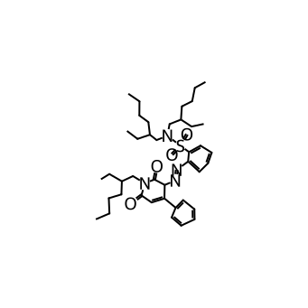 CCCCC(CC)CN1C(=O)C=C(c2ccccc2)C(/N=N/c2ccccc2S(=O)(=O)N(CC(CC)CCCC)CC(CC)CCCC)C1=O